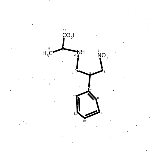 CC(NSC(C[N+](=O)[O-])c1ccccc1)C(=O)O